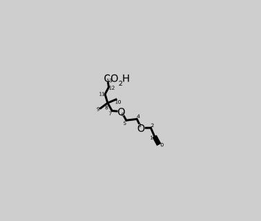 C#CCOCCOCC(C)(C)CCC(=O)O